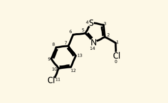 ClCc1csc(Cc2ccc(Cl)cc2)n1